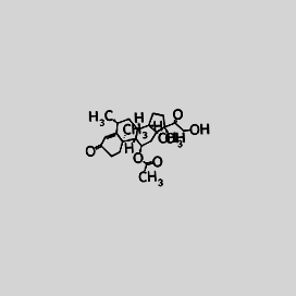 CC(=O)O[C@@H]1C[C@@]2(C)[C@@H](CC[C@]2(O)C(=O)CO)[C@@H]2C[C@H](C)C3=CC(=O)CC[C@]3(C)[C@H]21